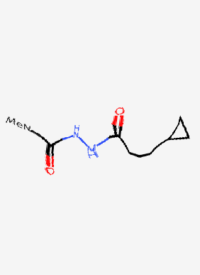 CNC(=O)NNC(=O)CC1CC1